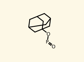 O=POC12CC3CC(CC(C3)C1)C2